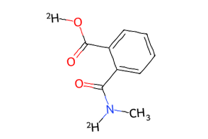 [2H]OC(=O)c1ccccc1C(=O)N([2H])C